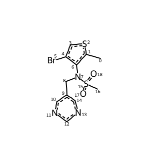 Cc1scc(Br)c1N(Cc1cncnc1)S(C)(=O)=O